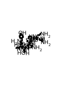 CC[C@H](C)[C@H](NC(=O)[C@@H](N)Cc1ccc(O)cc1)C(=O)N[C@H](C(=O)N[C@@H](CC(N)=O)C(=O)N[C@@H](CS)C(=O)N1CCC[C@H]1C(=O)N[C@@H](CCCN)C(=O)NCC(N)=O)[C@@H](C)O